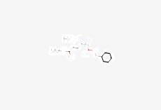 COC(=O)CC[C@@H](C(=O)O)N(F)C(=O)OCc1ccccc1